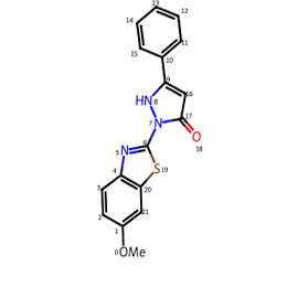 COc1ccc2nc(-n3[nH]c(-c4ccccc4)cc3=O)sc2c1